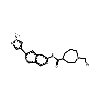 CC(C)CN1CCCC(C(=O)Nc2cc3cc(-c4cnn(C)c4)ncc3cn2)CC1